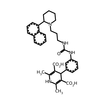 CC1=C(C(=O)O)C(c2cccc(NC(=O)NCCCN3CCCCC3c3cccc4ccccc34)c2)C(C(=O)O)=C(C)N1